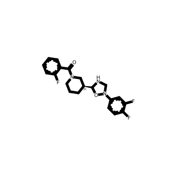 O=C(c1ccccc1F)N1CCC[C@H](C2NCN(c3ccc(F)c(F)c3)O2)C1